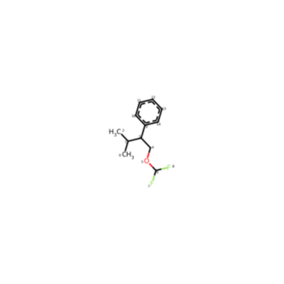 CC(C)C(COC(F)F)c1ccccc1